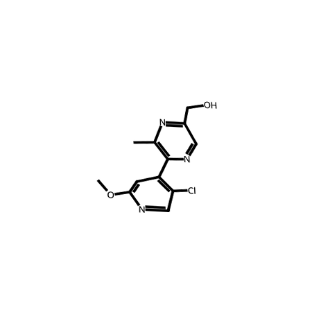 COc1cc(-c2ncc(CO)nc2C)c(Cl)cn1